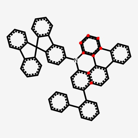 c1ccc(-c2ccccc2-c2ccc(N(c3ccc4c(c3)-c3ccccc3C43c4ccccc4-c4ccccc43)c3ccccc3-c3ccccc3-c3ccccc3-c3ccccc3)cc2)cc1